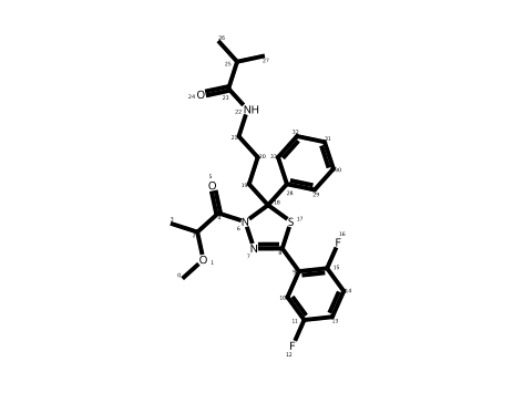 COC(C)C(=O)N1N=C(c2cc(F)ccc2F)SC1(CCCNC(=O)C(C)C)c1ccccc1